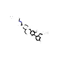 COC/C=C/C(=O)N1CCN2C(=O)c3cc(F)c(-c4ccc(F)c5sc(N)c(C#N)c45)c(Cl)c3OCCC2C1